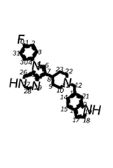 Fc1ccc(-n2cc(C3CCN(Cc4ccc5cc[nH]c5c4)CC3)c3c2=CNCN=3)cc1